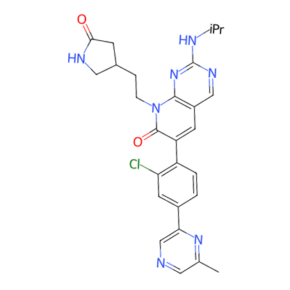 Cc1cncc(-c2ccc(-c3cc4cnc(NC(C)C)nc4n(CCC4CNC(=O)C4)c3=O)c(Cl)c2)n1